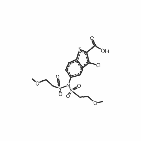 COCCS(=O)(=O)N(c1ccc2sc(C(=O)O)c(Cl)c2c1)S(=O)(=O)CCOC